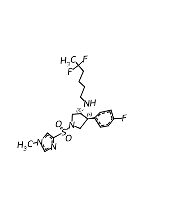 Cn1cnc(S(=O)(=O)N2C[C@H](NCCCCC(C)(F)F)[C@@H](c3ccc(F)cc3)C2)c1